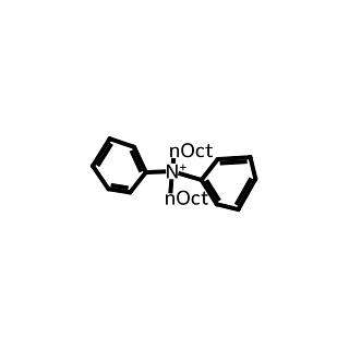 CCCCCCCC[N+](CCCCCCCC)(c1ccccc1)c1ccccc1